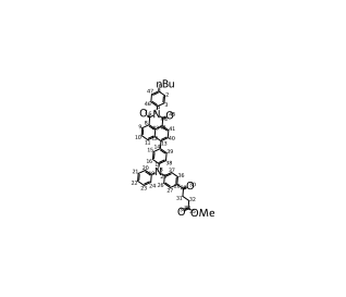 CCCCc1ccc(N2C(=O)c3cccc4c(-c5ccc(N(c6ccccc6)c6ccc(C(=O)CCC(=O)OC)cc6)cc5)ccc(c34)C2=O)cc1